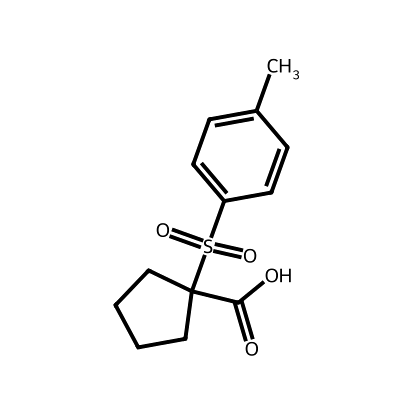 Cc1ccc(S(=O)(=O)C2(C(=O)O)CCCC2)cc1